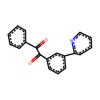 O=C(C(=O)c1cccc(-c2ccccn2)c1)c1ccccc1